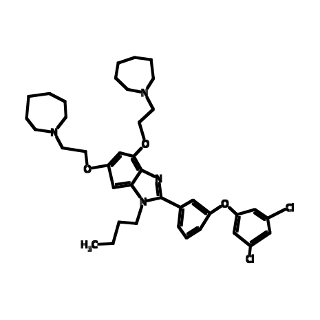 CCCCn1c(-c2cccc(Oc3cc(Cl)cc(Cl)c3)c2)nc2c(OCCN3CCCCCC3)cc(OCCN3CCCCCC3)cc21